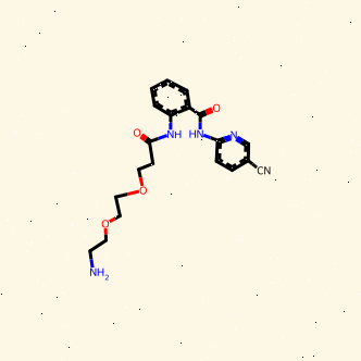 N#Cc1ccc(NC(=O)c2ccccc2NC(=O)CCOCCOCCN)nc1